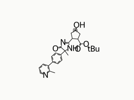 Cc1ncccc1-c1ccc(C2(C)NC(C3C[C@@H](O)CC3C(=O)OC(C)(C)C)=NC2=O)cc1